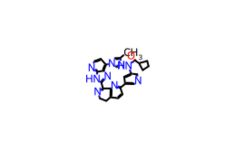 Cc1cn(-c2ccnc3[nH]c(C4=NCCc5ccc(-c6cncc(NC(=O)C7CCC7)c6)nc54)nc23)cn1